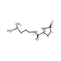 CN(C)CCCNC(=O)C1CCC(=O)N1